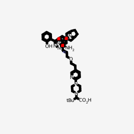 CC(C)(C)C(C(=O)O)N1CCN(c2ccc(CCOC/C=C/c3cc(N4C5CCC4CN(c4cc(-c6ccccc6O)nnc4N)C5)ccn3)cn2)CC1